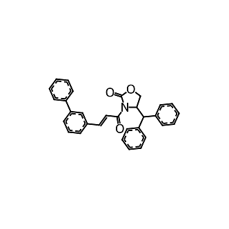 O=C(/C=C/c1cccc(-c2ccccc2)c1)N1C(=O)OCC1C(c1ccccc1)c1ccccc1